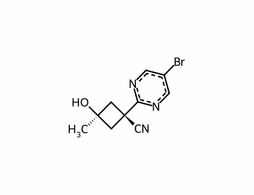 C[C@]1(O)C[C@](C#N)(c2ncc(Br)cn2)C1